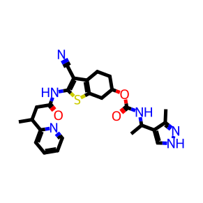 Cc1n[nH]cc1C(C)NC(=O)OC1CCc2c(sc(NC(=O)CC(C)c3ccccn3)c2C#N)C1